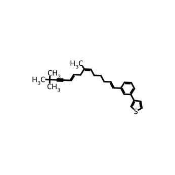 CC(=CCCCC=Cc1cccc(-c2ccsc2)c1)CC=CC#CC(C)(C)C